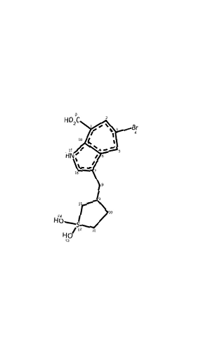 O=C(O)c1cc(Br)cc2c(CC3CCS(O)(O)C3)c[nH]c12